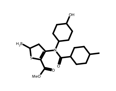 BC1CC(N(C(=O)C2CCC(C)CC2)C2CCC(O)CC2)=C(C(=O)OC)S1